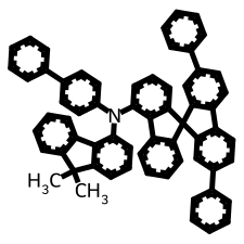 CC1(C)c2ccccc2-c2c(N(c3ccc(-c4ccccc4)cc3)c3cccc4c3-c3ccccc3C43c4cc(-c5ccccc5)ccc4-c4ccc(-c5ccccc5)cc43)cccc21